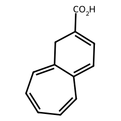 O=C(O)C1=CC=C2C=CC=CC=C2C1